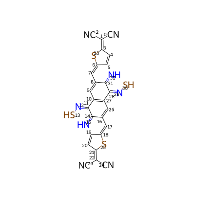 N#CC(C#N)=c1cc/c(=C\c2cc3c(=N/S)/c(=N)c(/C=c4\ccc(=C(C#N)C#N)s4)cc=3/c(=N/S)c2=N)s1